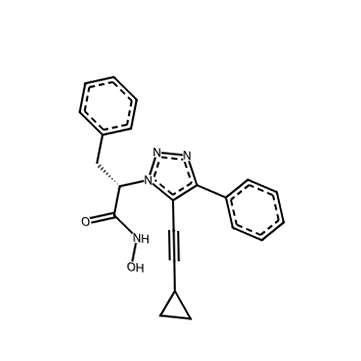 O=C(NO)[C@H](Cc1ccccc1)n1nnc(-c2ccccc2)c1C#CC1CC1